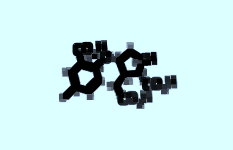 Cc1ccc(O[C@@H]2CN[C@H](C(=O)O)[C@H]2CC(=O)O)c(C(=O)O)c1